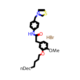 Br.CCCCCCCCCCCCCCOc1cc(CC(=O)Nc2ccc(CN3C=CSC3)cc2)ccc1OC